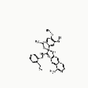 CCOc1cc(C(Nc2ccc3c(N)nccc3c2)(OC(=O)C(F)(F)F)C(=O)NCc2ccccc2CC(C)C)ccc1OC(C)C